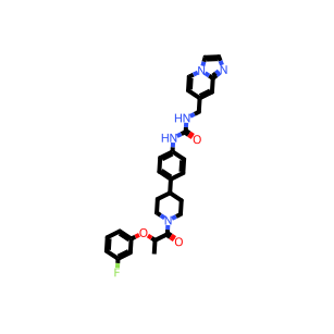 CC(Oc1cccc(F)c1)C(=O)N1CCC(c2ccc(NC(=O)NCc3ccn4ccnc4c3)cc2)CC1